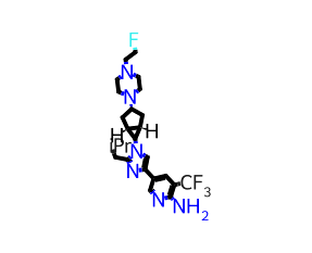 CC(C)Cc1nc(-c2cnc(N)c(C(F)(F)F)c2)cn1C1[C@H]2C[C@@H](N3CCN(CCF)CC3)C[C@@H]12